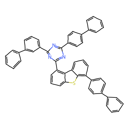 c1ccc(-c2ccc(-c3nc(-c4cccc(-c5ccccc5)c4)nc(-c4cccc5sc6c(-c7ccc(-c8ccccc8)cc7)cccc6c45)n3)cc2)cc1